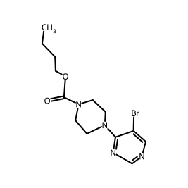 CCCCOC(=O)N1CCN(c2ncncc2Br)CC1